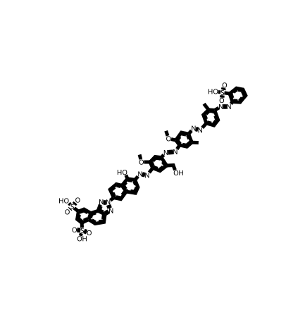 COc1cc(N=Nc2ccc(N=Nc3ccccc3S(=O)(=O)O)c(C)c2)c(C)cc1N=Nc1cc(OC)c(N=Nc2ccc3cc(-n4nc5ccc6c(S(=O)(=O)O)cc(S(=O)(=O)O)cc6c5n4)ccc3c2O)cc1CO